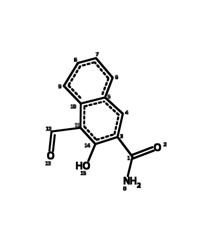 NC(=O)c1cc2ccccc2c(C=O)c1O